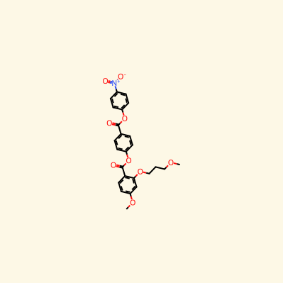 COCCCOc1cc(OC)ccc1C(=O)Oc1ccc(C(=O)Oc2ccc([N+](=O)[O-])cc2)cc1